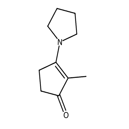 CC1=C(N2CCCC2)CCC1=O